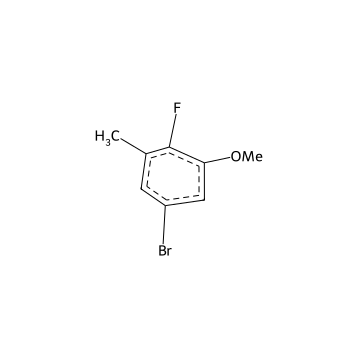 COc1cc(Br)cc(C)c1F